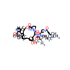 CCn1c(-c2cccnc2[C@H](C)OC)c2c3cc(ccc31)-c1cc(O)cc(c1)C[C@H](NC(=O)[C@H](C(C)C)N(C)C(=O)[C@H]1CCN(C(=O)C#CC(C)(C)N(C)C)C1)C(=O)N1CCC[C@H](N1)C(=O)OCC(C)(C)C2